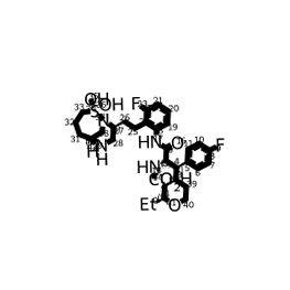 CC[C@H]1C[C@@H]([C@H](c2ccc(F)cc2)[C@H](NC(=O)O)C(=O)Nc2cccc(F)c2CC[C@H]2CN[C@@H]3CCCS(O)(O)N2C3)CCO1